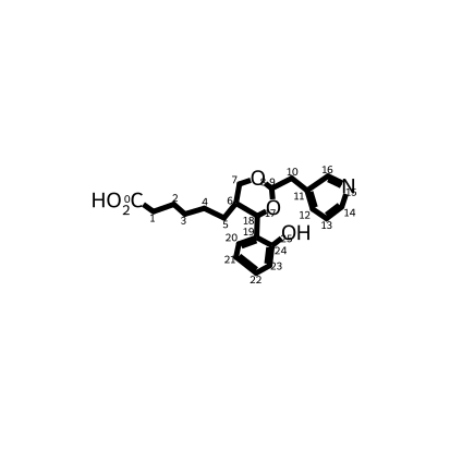 O=C(O)CCCCCC1COC(Cc2cccnc2)OC1c1ccccc1O